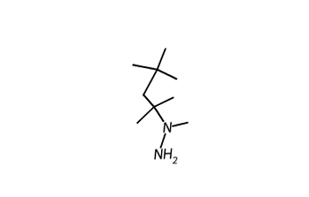 CN(N)C(C)(C)CC(C)(C)C